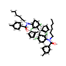 CCCCCCN(C(=O)c1ccc(C)cc1)c1ccc(F)[c]([Ti]([C]2=CC=CC2)([C]2=CC=CC2)[c]2c(F)ccc(N(CCCCCC)C(=O)c3ccc(C)cc3)c2F)c1F